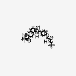 CC(C)(C)CNC(=O)COc1ccc(CNc2c(Cl)ccc3c2CCC(C(=O)C(F)(F)F)NC3)cn1